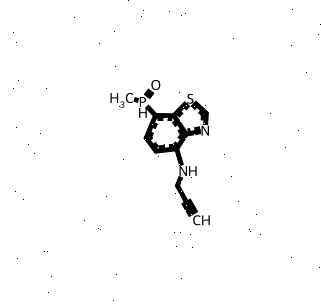 C#CCNc1ccc([PH](C)=O)c2scnc12